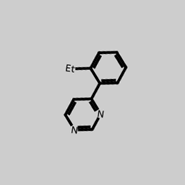 CCc1ccccc1-c1ccncn1